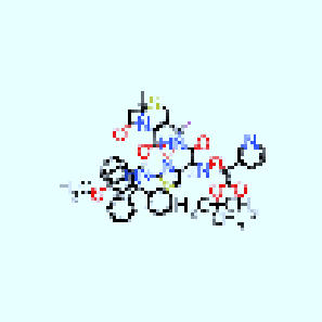 COc1ccc(COC(=O)C2=C([C@H](I)NC(=O)/C(=N\O[C@@H](C(=O)OC(C)(C)C)c3cccnc3)c3csc(NC(c4ccccc4)(c4ccccc4)c4ccccc4)n3)CS[C@H]3CC(=O)N23)cc1